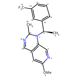 COc1cc2c(cn1)N([C@H](C)c1cccc(C(F)(F)F)c1)C(C)N=C2